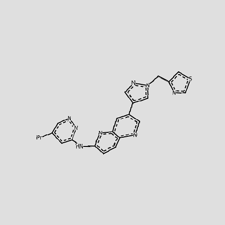 CC(C)c1cnnc(Nc2ccc3ncc(-c4cnn(Cc5cscn5)c4)cc3n2)c1